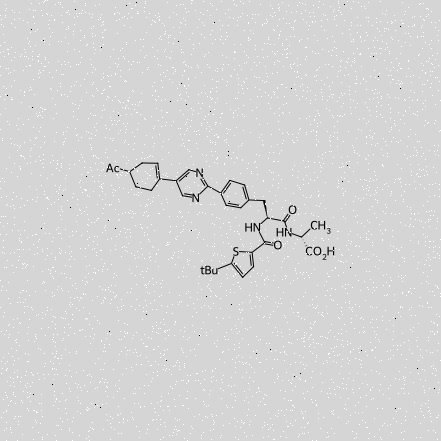 CC(=O)C1CC=C(c2cnc(-c3ccc(C[C@H](NC(=O)c4ccc(C(C)(C)C)s4)C(=O)N[C@H](C)C(=O)O)cc3)nc2)CC1